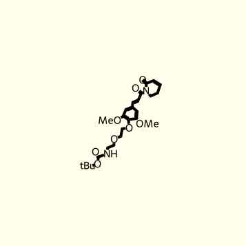 COc1cc(/C=C/C(=O)N2CCC=CC2=O)cc(OC)c1OCCOCCNC(=O)OC(C)(C)C